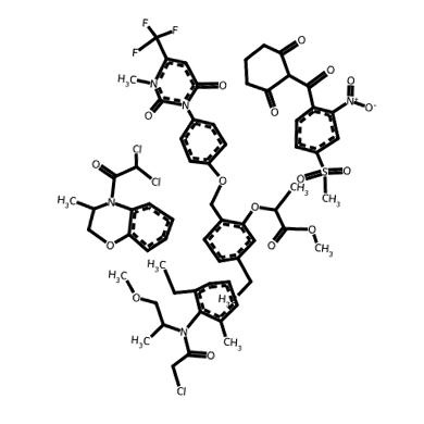 CC1COc2ccccc2N1C(=O)C(Cl)Cl.CCc1ccc(COc2ccc(-n3c(=O)cc(C(F)(F)F)n(C)c3=O)cc2)c(OC(C)C(=O)OC)c1.CCc1cccc(C)c1N(C(=O)CCl)C(C)COC.CS(=O)(=O)c1ccc(C(=O)C2C(=O)CCCC2=O)c([N+](=O)[O-])c1